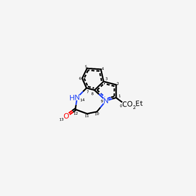 CCOC(=O)c1cc2cccc3c2n1CCC(=O)N3